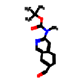 CN(C(=O)OC(C)(C)C)c1cc2ccc(C=O)cc2cn1